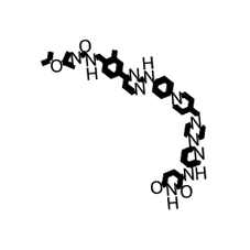 Cc1cc(-c2ccnc(Nc3ccc(N4CCC(CN5CCN(c6ccc(NC7CCC(=O)NC7=O)cn6)CC5)CC4)cc3)n2)ccc1CNC(=O)N1CC(OC(C)C)C1